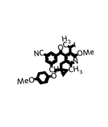 COC1=CC=C(OCC2(Cc3c(C)nc(OC)c(C(C)I)c3C(=O)c3cc(C)cc(C#N)c3)CC2)CC1